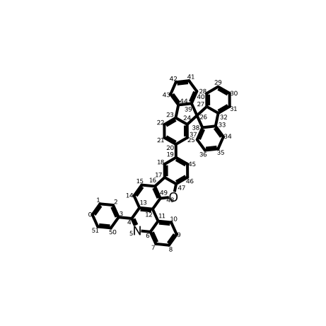 c1ccc(-c2nc3ccccc3c3c2ccc2c4cc(-c5ccc6c(c5)C5(c7ccccc7-c7ccccc75)c5ccccc5-6)ccc4oc23)cc1